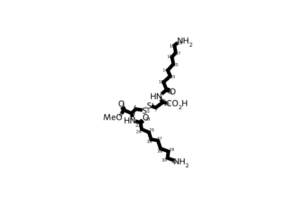 COC(=O)C(CSSCC(NC(=O)CCCCCCCN)C(=O)O)NC(=O)CCCCCCCN